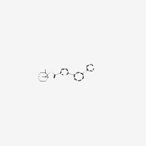 O=C(N[C@H]1CN2CCC1CC2)c1ccc(-c2cccc(-c3ccoc3)c2)o1